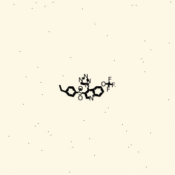 CCc1ccc(S(=O)(=O)c2cnc3ccc(OC(F)(F)F)cc3c2-n2cnnn2)cc1